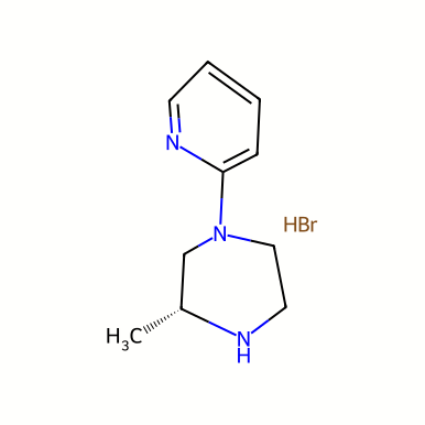 Br.C[C@@H]1CN(c2ccccn2)CCN1